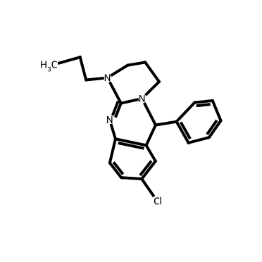 CCCN1CCCN2C1=Nc1ccc(Cl)cc1C2c1ccccc1